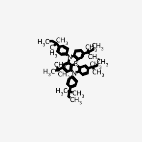 CCC(C)(C)c1ccc(N2c3ccc(C(C)(C)CC)cc3B3c4cc(C(C)(C)CC)ccc4N(c4ccc(C(C)(C)CC)cc4)c4cc(C(C)(C)C)cc2c43)cc1